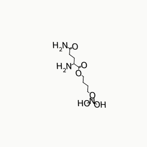 NC(=O)CCC(N)C(=O)OCCCCON(O)O